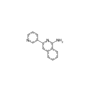 Nc1nc(-c2cccnc2)cc2ccccc12